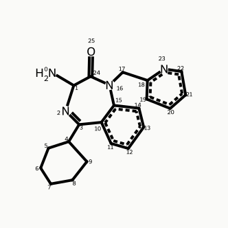 NC1N=C(C2CCCCC2)c2ccccc2N(Cc2ccccn2)C1=O